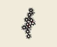 Cc1cc(-c2ccccc2)ccc1N(c1ccc(-c2ccccc2)cc1)c1ccccc1-c1cccc(-c2cccc3c2c2ccccc2n3-c2ccc3c(c2)C(C)(C)c2ccccc2-3)c1